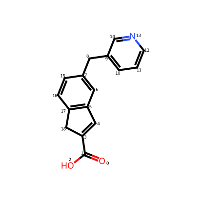 O=C(O)C1=Cc2cc(Cc3cccnc3)ccc2C1